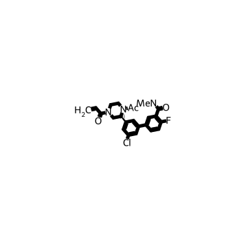 C=CC(=O)N1CCN(C(C)=O)[C@@H](c2cc(Cl)cc(-c3ccc(F)c(C(=O)NC)c3)c2)C1